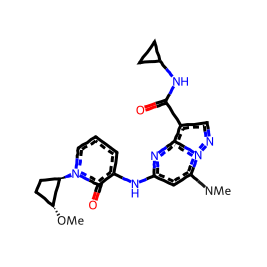 CNc1cc(Nc2cccn([C@@H]3CC[C@H]3OC)c2=O)nc2c(C(=O)NC3CC3)cnn12